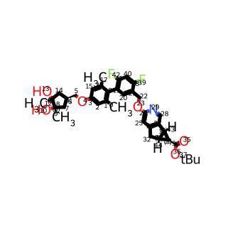 Cc1cc(OC[C@H]2C[C@](C)(O)[C@](C)(O)C2)cc(C)c1-c1cc(COc2cc3c(cn2)[C@H]2[C@@H](C3)[C@@H]2C(=O)OC(C)(C)C)c(F)cc1F